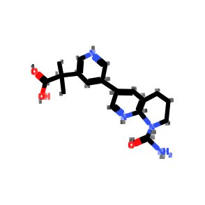 CC(C)(C(=O)O)c1cncc(-c2cnc3c(c2)CCCN3C(N)=O)c1